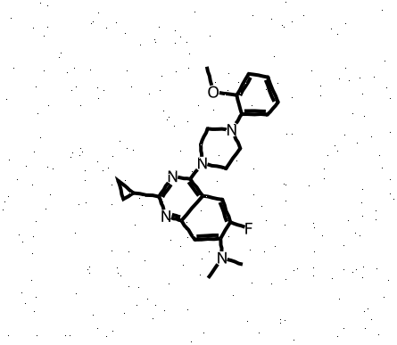 COc1ccccc1N1CCN(c2nc(C3CC3)nc3cc(N(C)C)c(F)cc23)CC1